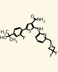 CC(C)(O)c1ccc(-c2cc(C(N)=O)c(Nc3cccc(CN4CC(F)(F)C4)n3)s2)c(F)c1